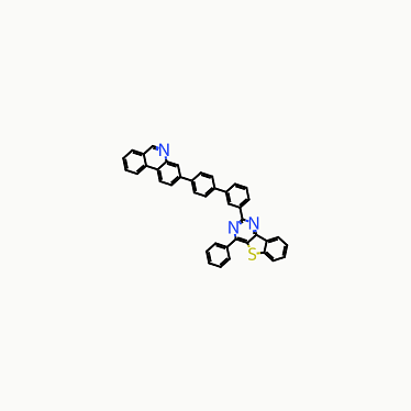 c1ccc(-c2nc(-c3cccc(-c4ccc(-c5ccc6c(c5)ncc5ccccc56)cc4)c3)nc3c2sc2ccccc23)cc1